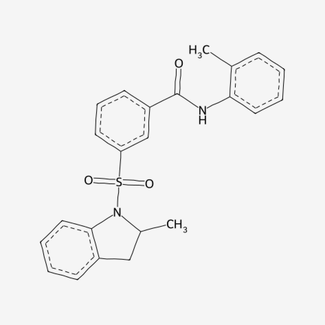 Cc1ccccc1NC(=O)c1cccc(S(=O)(=O)N2c3ccccc3CC2C)c1